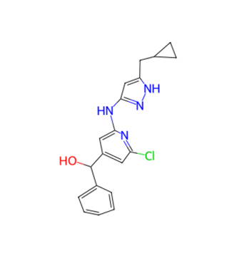 OC(c1ccccc1)c1cc(Cl)nc(Nc2cc(CC3CC3)[nH]n2)c1